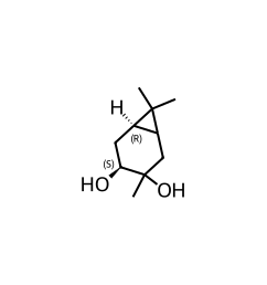 CC1(O)CC2[C@@H](C[C@@H]1O)C2(C)C